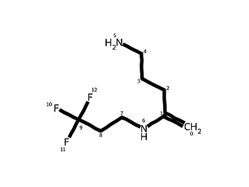 C=C(CCCN)NCCC(F)(F)F